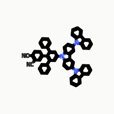 N#Cc1ccc(-c2c(-c3ccccc3)cc(-n3c4ccc(-n5c6ccccc6c6ccccc65)cc4c4cc(-n5c6ccccc6c6ccccc65)ccc43)cc2-c2ccccc2)cc1C#N